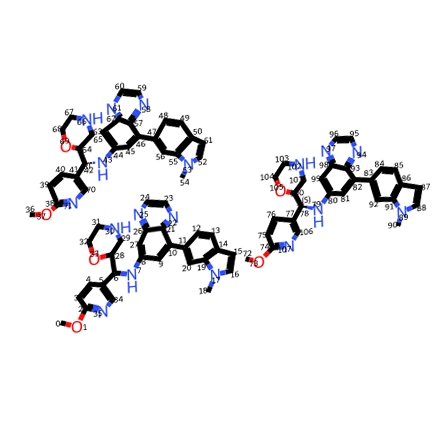 COc1ccc(C(Nc2cc(-c3ccc4ccn(C)c4c3)c3nccnc3c2)C2CNCCO2)cn1.COc1ccc([C@@H](Nc2cc(-c3ccc4ccn(C)c4c3)c3nccnc3c2)C2CNCCO2)cn1.COc1ccc([C@H](Nc2cc(-c3ccc4ccn(C)c4c3)c3nccnc3c2)C2CNCCO2)cn1